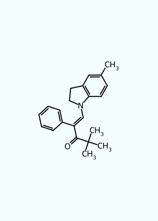 Cc1ccc2c(c1)CCN2/C=C(/C(=O)C(C)(C)C)c1ccccc1